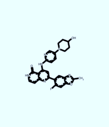 Cc1nc2cc(-c3cc(Nc4ccc(N5CCC(O)CC5)cn4)c4c(=O)[nH]ccc4n3)c(F)cc2o1